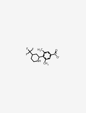 Cc1cc([N+](=O)[O-])cc(C)c1C1CC(C(F)(F)F)CCN1